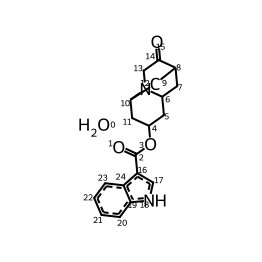 O.O=C(OC1CC2CC3CC(C1)N2CC3=O)c1c[nH]c2ccccc12